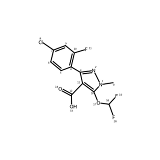 Cn1nc(-c2ccc(Cl)cc2F)c(C(=O)O)c1OC(F)F